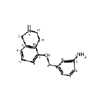 Nc1cccc(COc2cccc3c2CCNC3)c1